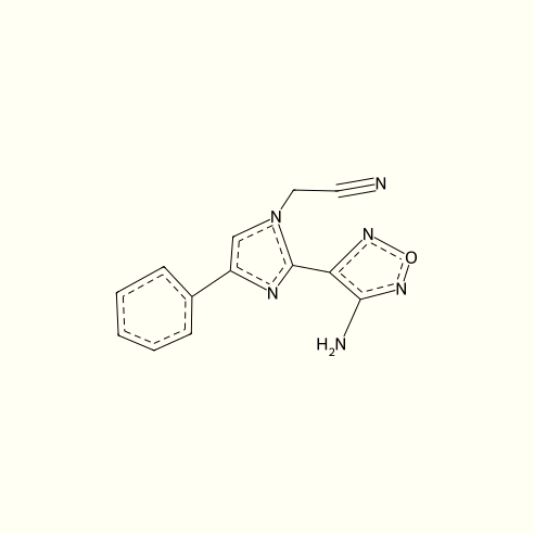 N#CCn1cc(-c2ccccc2)nc1-c1nonc1N